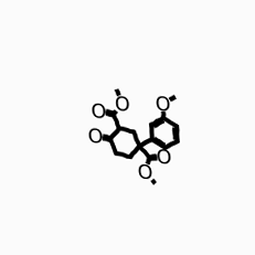 COC(=O)C1CC(C(=O)OC)(c2cccc(OC)c2)CCC1=O